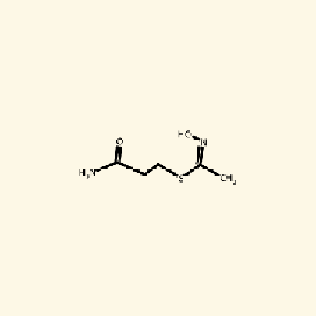 CC(=NO)SCCC(N)=O